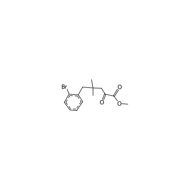 COC(=O)C(=O)CC(C)(C)Cc1ccccc1Br